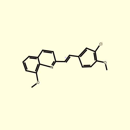 COc1ccc(/C=C/c2ccc3cccc(OC)c3n2)cc1Cl